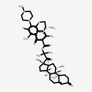 Cc1c(F)c(N2CCN(C)CC2)c2c3c1c(=O)c(C(=O)OC(C)(C)C(=O)[C@@]1(O)CC[C@H]4[C@@H]5CCC6=CC(=O)CC[C@]6(C)[C@H]5[C@@H](O)C[C@@]41C)c(C)n3[C@@H](C)CO2